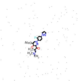 COc1cn(-c2ccc(-n3cccn3)cc2F)nc(C(=O)/C(C)=C/N(C)C)c1=O